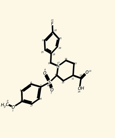 COc1ccc(S(=O)(=O)C2CC(C(=O)O)CCN2Cc2ccc(F)cc2)cc1